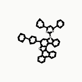 c1ccc(-c2ccc(-c3cc4c(c5ccccc5n4-c4nc(-c5ccccc5)cc(-c5ccccc5)n4)c4c3sc3c5ccccc5c5ccccc5c34)cc2)cc1